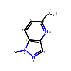 Cn1ncc2nc(C(=O)O)ccc21